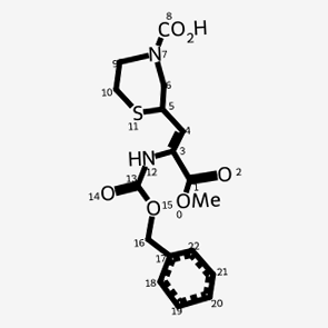 COC(=O)C(=CC1CN(C(=O)O)CCS1)NC(=O)OCc1ccccc1